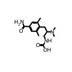 Cc1cc(C(N)=O)cc(C)c1CC(CNC(=O)O)N(C)C